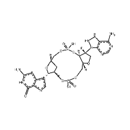 Nc1nc2c(ncn2[C@@H]2O[C@@H]3COP(=O)(S)O[C@@H]4[C@@H](COP(=O)(S)O[C@H]2C3)OC[C@@]4(F)N2NNc3c(N)ncnc32)c(=O)[nH]1